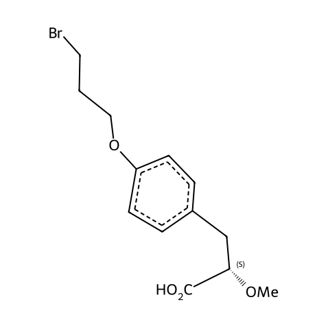 CO[C@@H](Cc1ccc(OCCCBr)cc1)C(=O)O